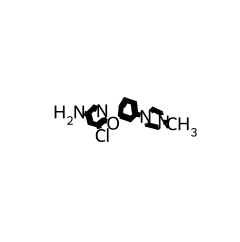 CN1CCN(c2cccc(Oc3ncc(N)cc3Cl)c2)CC1